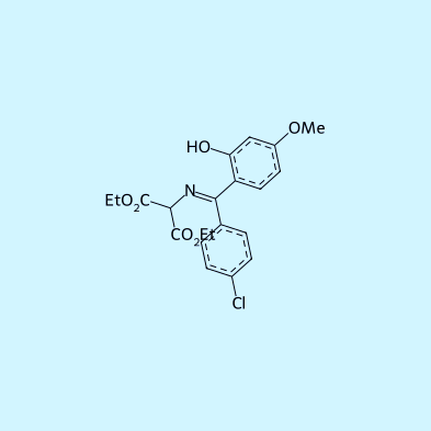 CCOC(=O)C(N=C(c1ccc(Cl)cc1)c1ccc(OC)cc1O)C(=O)OCC